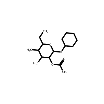 CCC1OC(OC2CCCCC2)C(OC(C)=O)C(C)C1C